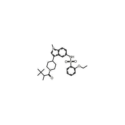 CCOc1ccccc1S(=O)(=O)Nc1ccc2c(c1)c(C1CCN(C(=O)C(C)C(C)(C)C)CC1)cn2C